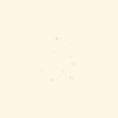 C=CC(C)(C)N.O=S(=O)(O)O